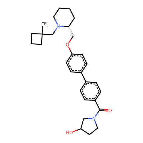 O=C(c1ccc(-c2ccc(OC[C@H]3CCCCN3CC3(C(F)(F)F)CCC3)cc2)cc1)N1CCC(O)C1